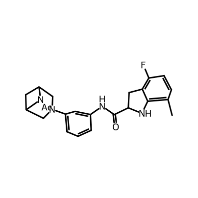 CC(=O)N1C2CC1CN(c1cccc(NC(=O)C3Cc4c(F)ccc(C)c4N3)c1)C2